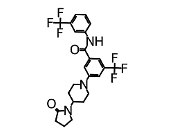 O=C(Nc1cccc(C(F)(F)F)c1)c1cc(N2CCC(N3CCCC3=O)CC2)cc(C(F)(F)F)c1